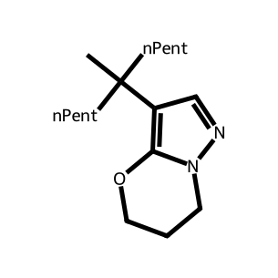 CCCCCC(C)(CCCCC)c1cnn2c1OCCC2